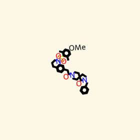 COc1cc(C)c(S(=O)(=O)N2CCCc3ccc(CC(=O)N4CCC5(CC4)CCN(Cc4ccccc4)C5=O)cc32)c(C)c1